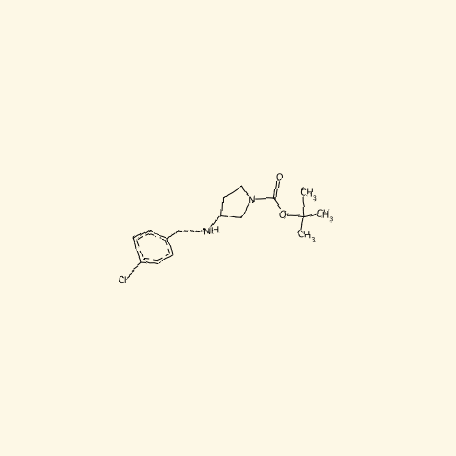 CC(C)(C)OC(=O)N1CCC(NCc2ccc(Cl)cc2)C1